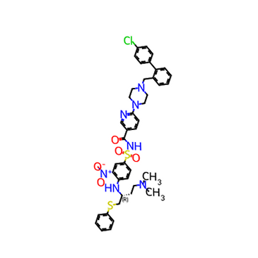 CN(C)CC[C@H](CSc1ccccc1)Nc1ccc(S(=O)(=O)NC(=O)c2ccc(N3CCN(Cc4ccccc4-c4ccc(Cl)cc4)CC3)nc2)cc1[N+](=O)[O-]